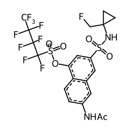 CC(=O)Nc1ccc2c(OS(=O)(=O)C(F)(F)C(F)(F)C(F)(F)C(F)(F)F)cc(S(=O)(=O)NC3(CF)CC3)cc2c1